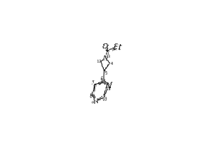 CCC(=O)N1CC(c2ccncn2)C1